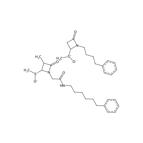 CC1C(=O)N(CC(=O)NCCCCCCc2ccccc2)C1[S+](C)[O-].C[S+]([O-])C1CC(=O)N1CCCCc1ccccc1